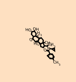 Cc1ccc(C(=O)N(C2CC2)C(C)C2CC[C@@]3(O)C4=CC(=O)C5CC(O)C(O)C[C@]5(C)C4CCC23C)cc1